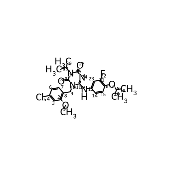 COc1cc(Cl)ccc1Cn1c(Nc2ccc(OC(C)C)c(F)c2)nc(=O)n(C(C)C)c1=O